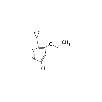 CCOc1cc(Cl)nnc1C1CC1